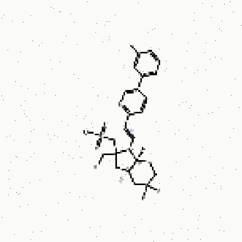 NS(=O)(=O)CC1(CO)C[C@@H]2CC(F)(F)CC[C@H]2[C@@H]1/C=C/c1ccc(-c2cccc(F)c2)cn1